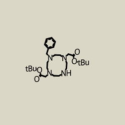 CC(C)(C)OC(=O)CN1CCNCCN(CC(=O)OC(C)(C)C)CCN(Cc2ccccc2)CC1